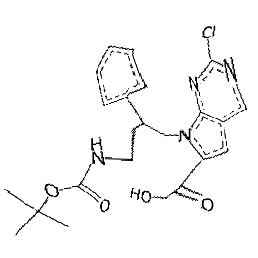 CC(C)(C)OC(=O)NCC(c1ccccc1)n1c(C(=O)O)cc2cnc(Cl)nc21